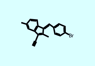 C#CC1=C(C)C(=Cc2ccc(Br)cc2)c2ccc(C)cc21